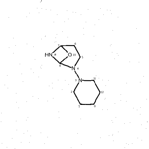 C1CCN(N2CCC3NC2O3)CC1